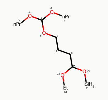 CCCOC(OCCC)OCCCC(O[SiH3])OCC